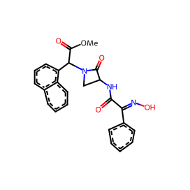 COC(=O)C(c1cccc2ccccc12)N1CC(NC(=O)C(=NO)c2ccccc2)C1=O